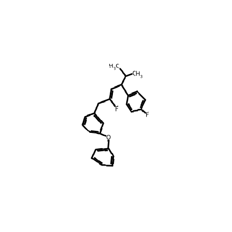 CC(C)C(C=C(F)Cc1cccc(Oc2ccccc2)c1)c1ccc(F)cc1